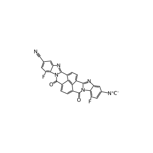 [C-]#[N+]c1cc(F)c2c(c1)nc1c3ccc4c5c(ccc(c(=O)n12)c35)c(=O)n1c4nc2cc(C#N)cc(F)c21